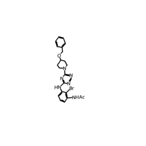 CC(=O)Nc1cccc(Nc2ncnc(N3CCC(OCc4ccccc4)CC3)n2)c1Br